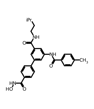 Cc1ccc(C(=O)Nc2cc(C(=O)NCCC(C)C)cc(-c3ccc(C(=O)NO)cc3)c2)cc1